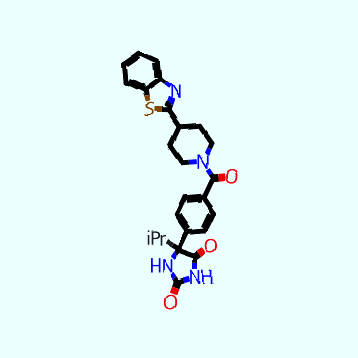 CC(C)C1(c2ccc(C(=O)N3CCC(c4nc5ccccc5s4)CC3)cc2)NC(=O)NC1=O